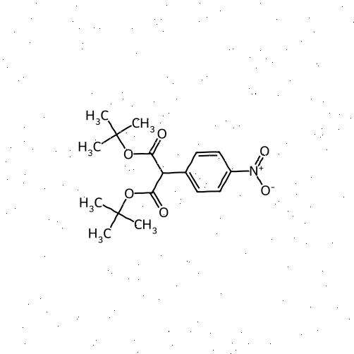 CC(C)(C)OC(=O)C(C(=O)OC(C)(C)C)c1ccc([N+](=O)[O-])cc1